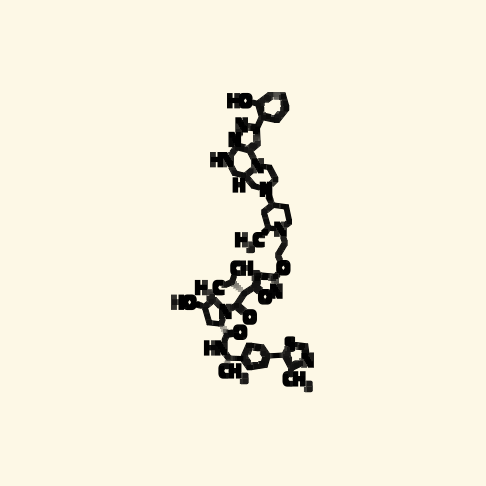 Cc1ncsc1-c1ccc([C@H](C)NC(=O)[C@@H]2C[C@@H](O)CN2C(=O)[C@@H](c2cc(OCCN3CC[C@H](N4CCN5c6cc(-c7ccccc7O)nnc6NC[C@@H]5C4)C[C@@H]3C)no2)C(C)C)cc1